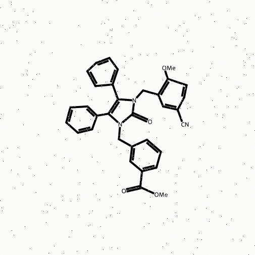 COC(=O)c1cccc(Cn2c(-c3ccccc3)c(-c3ccccc3)n(Cc3cc(C#N)ccc3OC)c2=O)c1